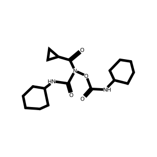 O=C(NC1CCCCC1)ON(C(=O)NC1CCCCC1)C(=O)C1CC1